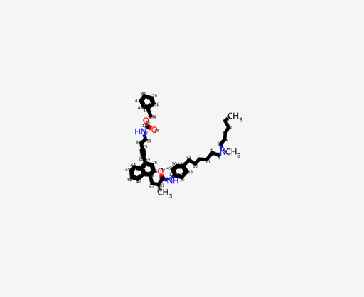 CCCCCCN(C)CCCCCCc1ccc(NC(=O)[C@@H](C)Cc2ccc(C#CCCNC(=O)OCc3ccccc3)c3ccccc23)cc1